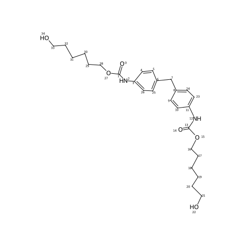 O=C(Nc1ccc(Cc2ccc(NC(=O)OCCCCCCO)cc2)cc1)OCCCCCCO